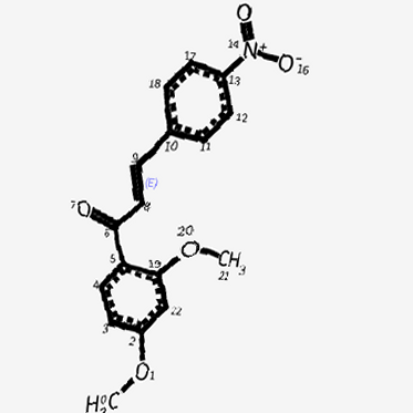 COc1ccc(C(=O)/C=C/c2ccc([N+](=O)[O-])cc2)c(OC)c1